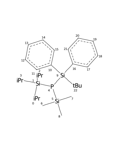 CC(C)[Si](C(C)C)(C(C)C)P([Si](C)(C)C)[Si](c1ccccc1)(c1ccccc1)C(C)(C)C